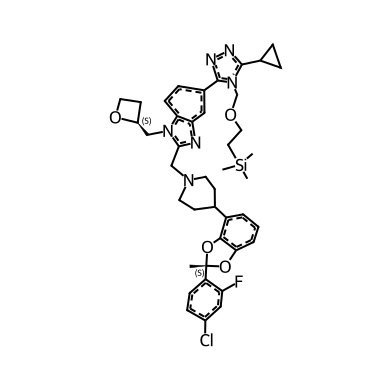 C[C@]1(c2ccc(Cl)cc2F)Oc2cccc(C3CCN(Cc4nc5cc(-c6nnc(C7CC7)n6COCC[Si](C)(C)C)ccc5n4C[C@@H]4CCO4)CC3)c2O1